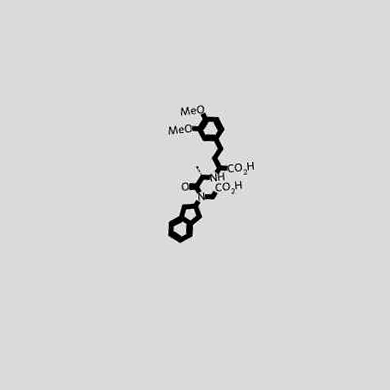 COc1ccc(CCC(N[C@@H](C)C(=O)N(CC(=O)O)C2Cc3ccccc3C2)C(=O)O)cc1OC